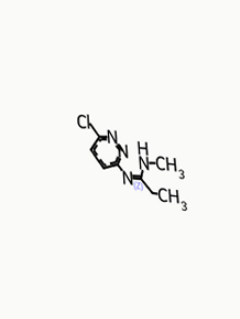 CC/C(=N/c1ccc(Cl)nn1)NC